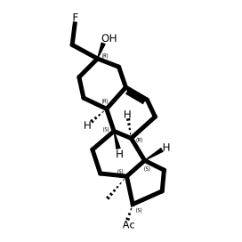 CC(=O)[C@H]1CC[C@H]2[C@@H]3CC=C4C[C@@](O)(CF)CC[C@@H]4[C@H]3CC[C@]12C